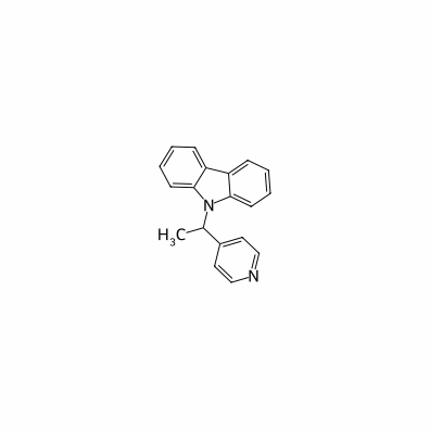 CC(c1ccncc1)n1c2ccccc2c2ccccc21